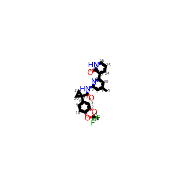 Cc1cc(NC(=O)C2(c3ccc4c(c3)OC(F)(F)O4)CC2)nc(-c2ccc[nH]c2=O)c1